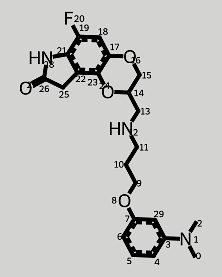 CN(C)c1cccc(OCCCNCC2COc3cc(F)c4c(c3O2)CC(=O)N4)c1